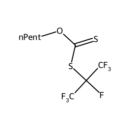 CCCCCOC(=S)SC(F)(C(F)(F)F)C(F)(F)F